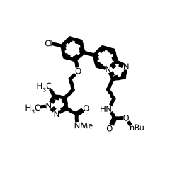 CCCCOC(=O)NCCc1cnc2ccc(-c3ccc(Cl)cc3OCCc3c(C(=O)NC)nn(C)c3C)cn12